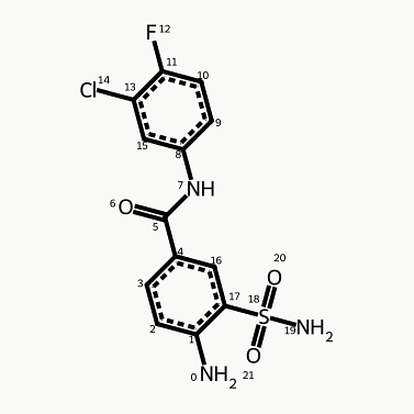 Nc1ccc(C(=O)Nc2ccc(F)c(Cl)c2)cc1S(N)(=O)=O